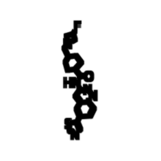 O=C(Nc1cc2cc(-c3cncs3)ccc2nn1)C1CCC(CN2CC(F)C2)CC1